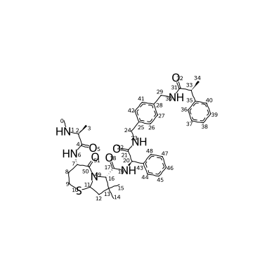 CN[C@@H](C)C(=O)N[C@H]1CCSC2CC(C)(C)[C@@H](C(=O)N[C@@H](C(=O)NCc3ccc(CNC(=O)[C@@H](C)c4ccccc4)cc3)c3ccccc3)N2C1=O